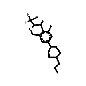 CCCC1CCC(c2cc(F)c3c(c2)COC(C(F)(F)F)C3C)CC1